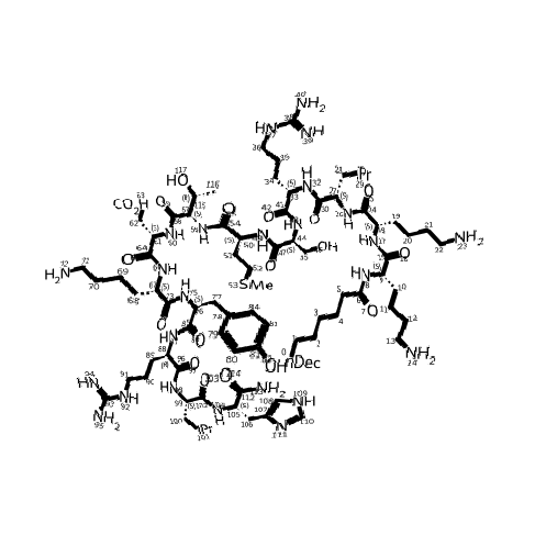 CCCCCCCCCCCCCCCC(=O)N[C@@H](CCCCN)C(=O)N[C@@H](CCCCN)C(=O)N[C@@H](CC(C)C)C(=O)N[C@@H](CCCNC(=N)N)C(=O)N[C@@H](CO)C(=O)N[C@@H](CCSC)C(=O)N[C@H](C(=O)N[C@@H](CC(=O)O)C(=O)N[C@@H](CCCCN)C(=O)N[C@@H](Cc1ccc(O)cc1)C(=O)N[C@H](CCCNC(=N)N)C(=O)N[C@@H](CC(C)C)C(=O)N[C@@H](Cc1c[nH]cn1)C(N)=O)[C@@H](C)O